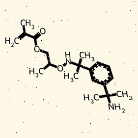 C=C(C)C(=O)OCC(C)ONC(C)(C)c1cccc(C(C)(C)N)c1